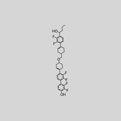 CCCC(O)c1ccc(C2=CCC(COC3CC=C(c4ccc(-c5ccc(O)c(F)c5F)c(F)c4F)CC3)CC2)c(F)c1F